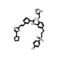 O=C(Nc1cc(CCCS(=O)(=O)c2ccc(Cl)cc2)ccc1OCc1nnn[nH]1)c1cccc(C=Cc2nc(C3CCCC3)cs2)c1